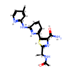 CC(=O)N[C@@H](C)c1nc(C(N)=O)c(-c2cccc(Nc3cc(C)ccn3)n2)s1